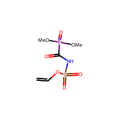 C=COS(=O)(=O)NC(=O)P(=O)(OC)OC